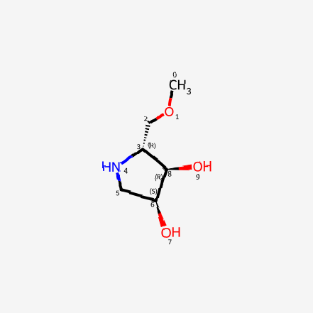 COC[C@H]1NC[C@H](O)[C@@H]1O